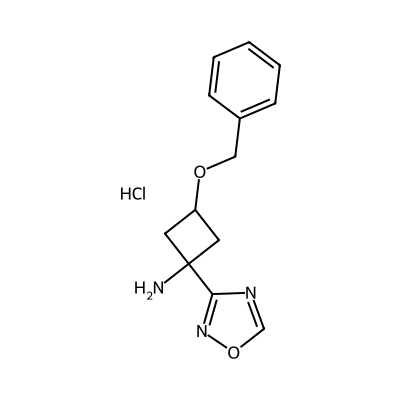 Cl.NC1(c2ncon2)CC(OCc2ccccc2)C1